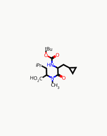 CC(C)CC(C(=O)O)N(C)C(=O)C(CC1CC1)NC(=O)OC(C)(C)C